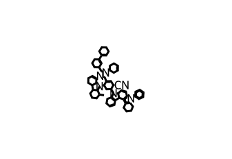 CC1CCCC2C3CCC=C4C3N(C3CC(N5C6=C(C=CCC6)C6c7c8c(n(-c9ccccc9)c7C=CC65)CCCC8)C(C#N)C=C3C3N4C(C4C=C(C5=CCCCC5)CCC4)N3C3CC=CCC3)C12